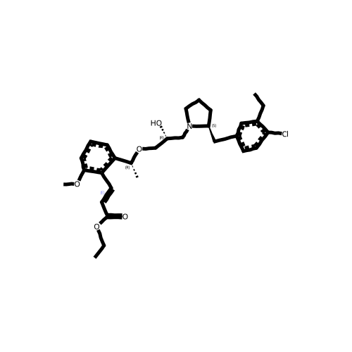 CCOC(=O)/C=C/c1c(OC)cccc1[C@@H](C)OC[C@H](O)CN1CCC[C@H]1Cc1ccc(Cl)c(CC)c1